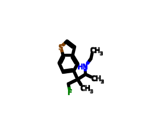 CCNC(C)C(C)(CF)c1ccc2sccc2c1